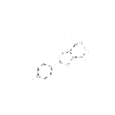 Oc1cncc2cc(-c3ccc(F)cc3)sc12